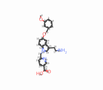 COc1cccc(COc2ccc3c(c2)c(CCN)cn3Cc2ccc(C(=O)O)cn2)c1